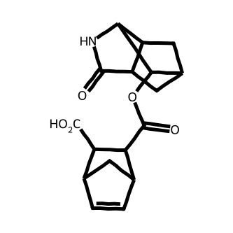 O=C1NC2C3CC(CC13)C2OC(=O)C1C2C=CC(C2)C1C(=O)O